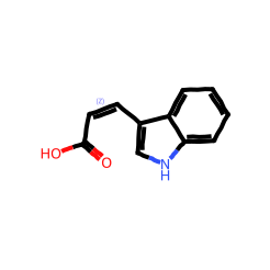 O=C(O)/C=C\c1c[nH]c2ccccc12